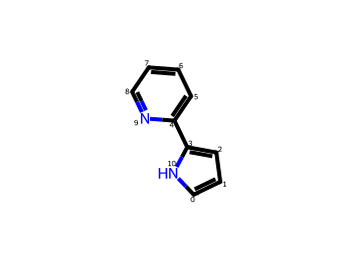 [c]1ccc(-c2ccccn2)[nH]1